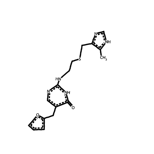 Cc1[nH]cnc1CSCCNc1ncc(Cc2ccco2)c(=O)[nH]1